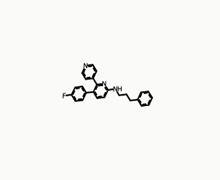 Fc1ccc(-c2ccc(NCCCc3ccccc3)nc2-c2ccncc2)cc1